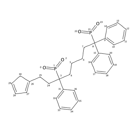 O=P(=O)C(CCCCC(c1ccccc1)(c1ccccc1)P(=O)=O)(CCC1=CC=CC1)c1ccccc1